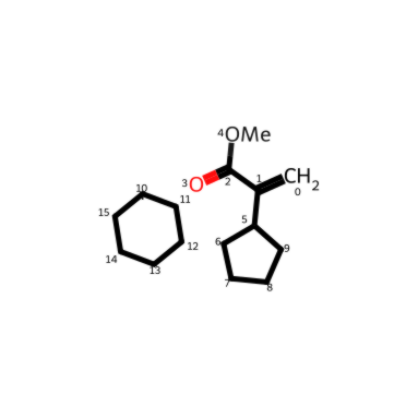 C=C(C(=O)OC)C1CCCC1.[CH]1CCCCC1